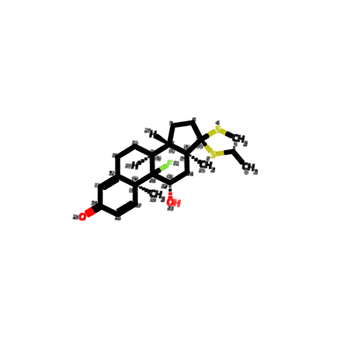 CCS[C@]1(SC)CC[C@H]2[C@@H]3CCC4=CC(=O)C=C[C@]4(C)C3(F)[C@@H](O)C[C@@]21C